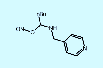 CCCCC(NCc1ccncc1)ON=O